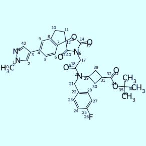 Cn1cc(-c2ccc3c(c2)CCC32OC(=O)N(CC(=O)N(Cc3ccc(F)cc3)C3CC(C(=O)OC(C)(C)C)C3)C2=O)cn1